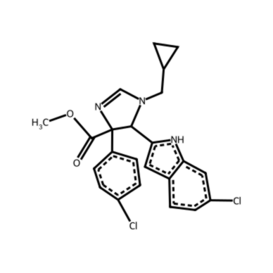 COC(=O)C1(c2ccc(Cl)cc2)N=CN(CC2CC2)C1c1cc2ccc(Cl)cc2[nH]1